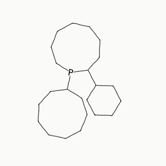 C1CCCCC(P2CCCCCCCC2C2CCCCC2)CCC1